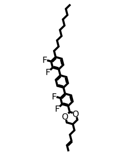 C/C=C/CCC1COC(c2ccc(-c3ccc(-c4ccc(CCCCCCCCCC)c(F)c4F)cc3)c(F)c2F)OC1